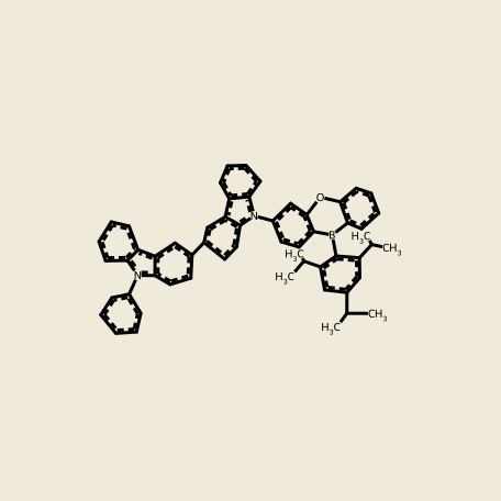 CC(C)c1cc(C(C)C)c(B2c3ccccc3Oc3cc(-n4c5ccccc5c5cc(-c6ccc7c(c6)c6ccccc6n7-c6ccccc6)ccc54)ccc32)c(C(C)C)c1